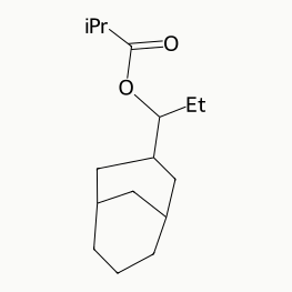 CCC(OC(=O)C(C)C)C1CC2CCCC(C2)C1